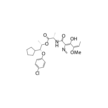 C=N/C(C(=O)N[C@@H](C)C(=O)O[C@@H](C)[C@H](Oc1ccc(Cl)cc1)C1CCCC1)=C(O)\C(=C/C)OC